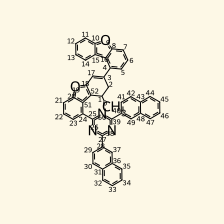 CC1CC(c2cccc3oc4ccccc4c23)=Cc2oc3cccc(-c4nc(-c5ccc6ccccc6c5)nc(-c5ccc6ccccc6c5)n4)c3c21